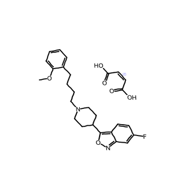 COc1ccccc1CCCCN1CCC(c2onc3cc(F)ccc23)CC1.O=C(O)/C=C\C(=O)O